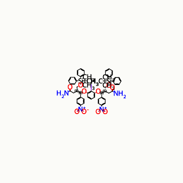 CC(C)(C)[Si](OC[C@H](CC(N)=O)[C@@H](Oc1cccc(O[C@@H](c2ccc([N+](=O)[O-])cc2)[C@H](CO[Si](c2ccccc2)(c2ccccc2)C(C)(C)C)CC(N)=O)c1I)c1ccc([N+](=O)[O-])cc1)(c1ccccc1)c1ccccc1